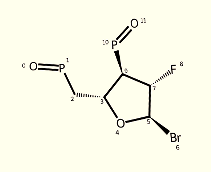 O=PC[C@H]1O[C@H](Br)[C@@H](F)[C@@H]1P=O